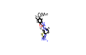 COc1cc2nc(N3[C@H](C)Cc4nc(N)sc4[C@@H]3C)oc2cc1C